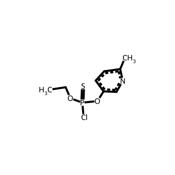 CCOP(=S)(Cl)Oc1ccc(C)nc1